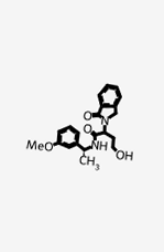 COc1cccc([C@@H](C)NC(=O)C(CCO)N2Cc3ccccc3C2=O)c1